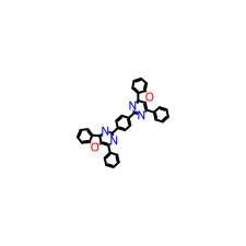 c1ccc(-c2nc(-c3ccc(-c4nc(-c5ccccc5)c5oc6ccccc6c5n4)cc3)nc3c2oc2ccccc23)cc1